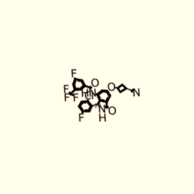 N#C[C@H]1C[C@@H](Oc2cc(NC(=O)c3cc(F)cc(C(F)(F)F)c3)c3c(c2)C(=O)N[C@H]3c2cc(F)ccc2Cl)C1